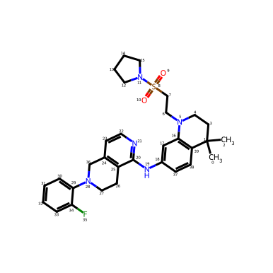 CC1(C)CCN(CCS(=O)(=O)N2CCCC2)c2cc(Nc3nccc4c3CCN(c3ccccc3F)C4)ccc21